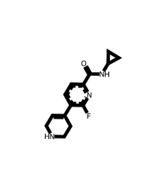 O=C(NC1CC1)c1ccc(C2=CCNCC2)c(F)n1